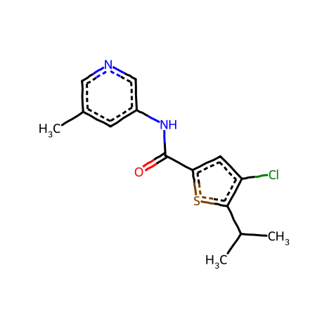 Cc1cncc(NC(=O)c2cc(Cl)c(C(C)C)s2)c1